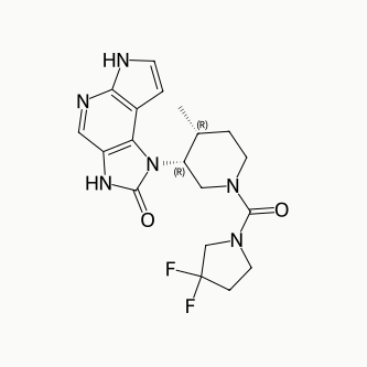 C[C@@H]1CCN(C(=O)N2CCC(F)(F)C2)C[C@@H]1n1c(=O)[nH]c2cnc3[nH]ccc3c21